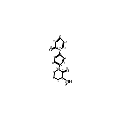 CNC1CCCN(c2ccc(-n3ccccc3=O)cc2)C1=O